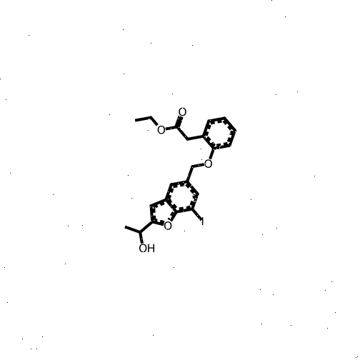 CCOC(=O)Cc1ccccc1OCc1cc(I)c2oc(C(C)O)cc2c1